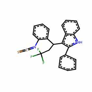 FC(F)(F)CC(c1ccccc1N=C=S)c1c(-c2ccccc2)[nH]c2ccccc12